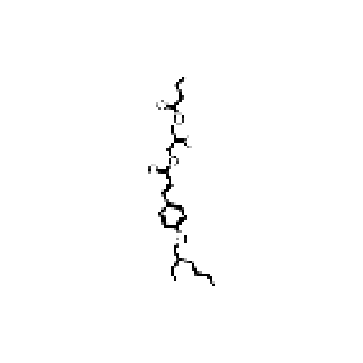 CCCCC(CC)COc1ccc(/C=C/C(=O)OCC(=O)COC(=O)CCC)cc1